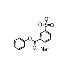 O=C(Oc1ccccc1)c1cccc(S(=O)(=O)[O-])c1.[Na+]